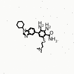 CN(C)CCSc1cc(-c2ccc3c(c2)ncn3C2CCCCC2)c(N)c(N)c1C(N)=O